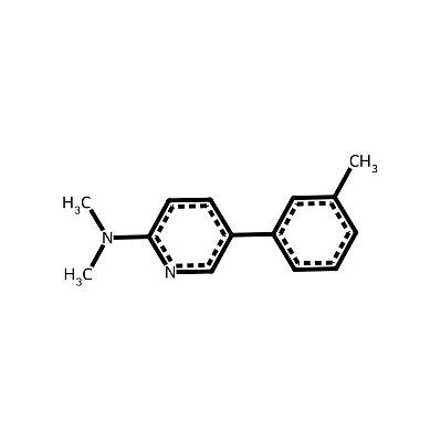 Cc1cccc(-c2ccc(N(C)C)nc2)c1